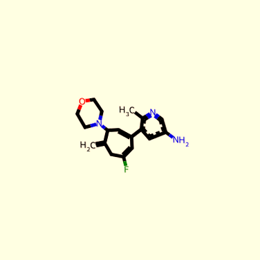 C=C1CC(F)=CC(c2cc(N)cnc2C)=CC1N1CCOCC1